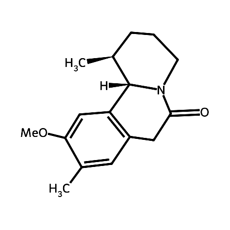 COc1cc2c(cc1C)CC(=O)N1CCC[C@H](C)[C@@H]21